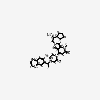 CC(c1ccc2nccnc2c1)N1C[C@H](C)N(c2cc(=O)n(C)c3cn(CC(C#N)C4CCCC4)nc23)C[C@H]1C